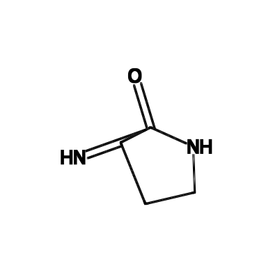 N=C1CCNC1=O